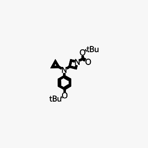 CC(C)(C)OC(=O)N1CC(N(c2ccc(OC(C)(C)C)cc2)C2CC2)C1